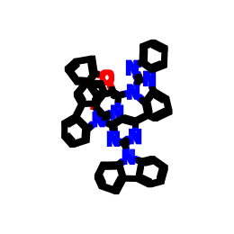 c1ccc2c(c1)nc1n(-c3nccc4c3oc3ccccc34)c3c(-c4cc(-n5c6ccccc6c6ccccc65)nc(-n5c6ccccc6c6ccccc65)n4)cccc3n21